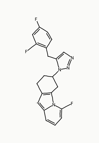 Fc1ccc(Cc2cnnn2C2CCc3[c]c4cccc(F)n4c3C2)c(F)c1